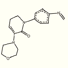 C=Nc1ccc(N2CCC=C(N3CCOCC3)C2=O)cc1